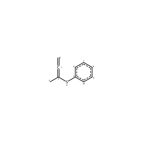 C=C=C(C)Sc1ccccc1